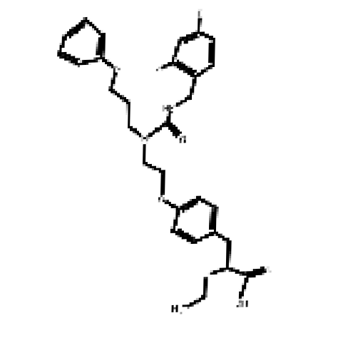 CCOC(Cc1ccc(OCCN(CCCOc2ccccc2)C(=O)NCc2ccc(F)cc2F)cc1)C(=O)O